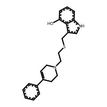 Oc1cccc2[nH]cc(CSCCN3CC=C(c4ccccc4)CC3)c12